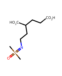 CS(C)(=O)=NCCC(CCC(=O)O)C(=O)O